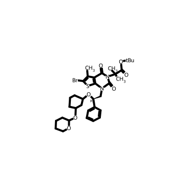 Cc1c(Br)sc2c1c(=O)n(C(C)(C)C(=O)OC(C)(C)C)c(=O)n2C[C@H](OC1CCCC(OC2CCCCO2)C1)c1ccccc1